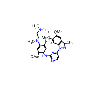 COc1cc(N(C)CCN(C)C)c([N+](=O)[O-])cc1Nc1nccc(-n2nc(C)c3cc(OC)c(OC)cc32)n1